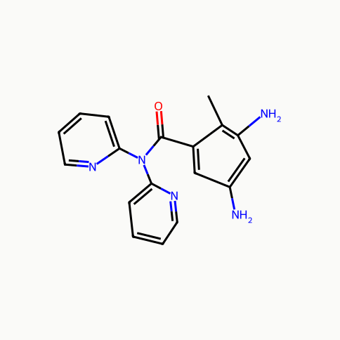 Cc1c(N)cc(N)cc1C(=O)N(c1ccccn1)c1ccccn1